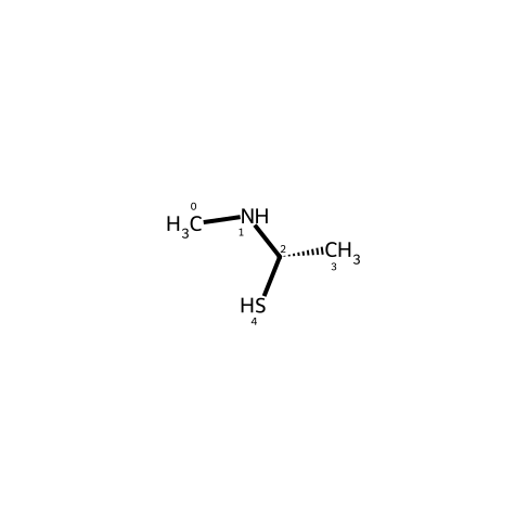 CN[C@H](C)S